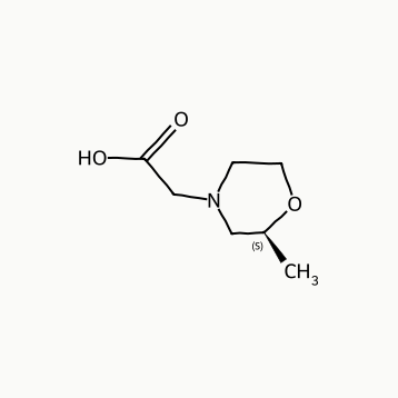 C[C@H]1CN(CC(=O)O)CCO1